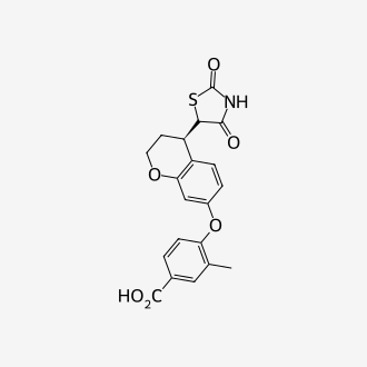 Cc1cc(C(=O)O)ccc1Oc1ccc2c(c1)OCC[C@H]2C1SC(=O)NC1=O